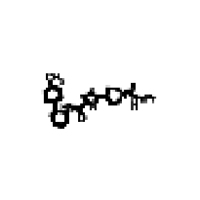 CCCNC(=S)N1CCC(c2nc(C(=O)Nc3ccccc3-c3ccc(C)cc3)cs2)CC1